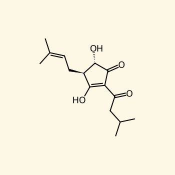 CC(C)=CC[C@@H]1C(O)=C(C(=O)CC(C)C)C(=O)[C@H]1O